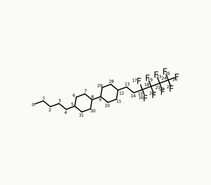 CCCCCC1CCC(C2CCC(CCC(F)(F)C(F)(F)C(F)(F)C(F)(F)F)CC2)CC1